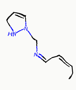 C/C=C\C=N/CN1C=CCN1